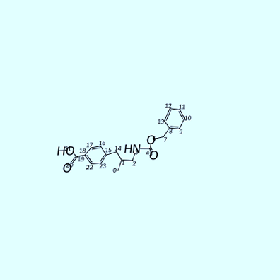 CC(CNC(=O)OCc1ccccc1)Cc1ccc(C(=O)O)cc1